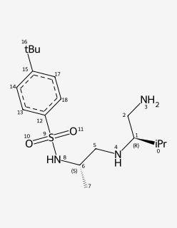 CC(C)[C@H](CN)NC[C@H](C)NS(=O)(=O)c1ccc(C(C)(C)C)cc1